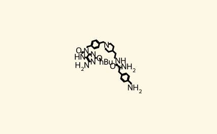 CCCCOc1nc(N)c2[nH]c(=O)n(Cc3ccc(CN4CCC(CCNC(=O)[C@@H](N)Cc5ccc(CN)cc5)CC4)cc3)c2n1